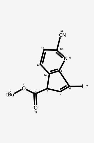 CC(C)(C)OC(=O)C1C=C(I)c2nc(C#N)ccc21